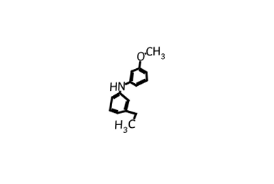 CCc1cccc(Nc2cccc(OC)c2)c1